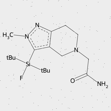 Cn1nc2c(c1[Si](F)(C(C)(C)C)C(C)(C)C)CN(CC(N)=O)CC2